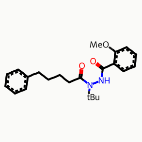 COc1ccccc1C(=O)NN(C(=O)CCCCc1ccccc1)C(C)(C)C